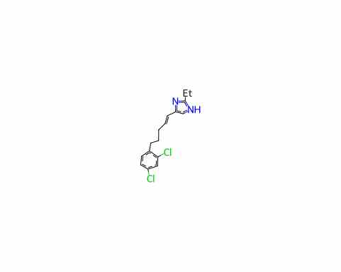 CCc1nc(C=CCCCc2ccc(Cl)cc2Cl)c[nH]1